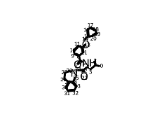 CC(C)C[C@H](NC(=O)c1cccc(OCc2ccccc2)c1)C(=O)CN1CCCc2ccccc2C1